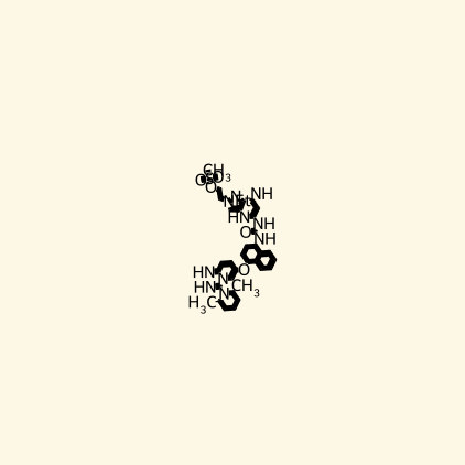 CCC(=N)/C=C(/NC(=O)N[C@H]1CCC(Oc2ccc(=N)n(C(=N)N3[C@H](C)CCC[C@@H]3C)c2)c2ccccc21)Nc1cnn(CCOS(C)(=O)=O)c1